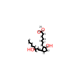 CCCCCC(C)(O)C=CC1CC[C@@H](O)[C@@H]1CCCCCCC(=O)OC